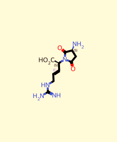 N=C(N)NC/C=C/[C@@H](C(=O)O)N1C(=O)C[C@H](N)C1=O